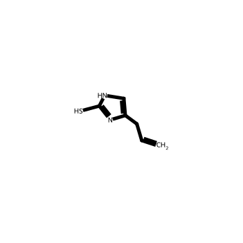 C=CCc1c[nH]c(S)n1